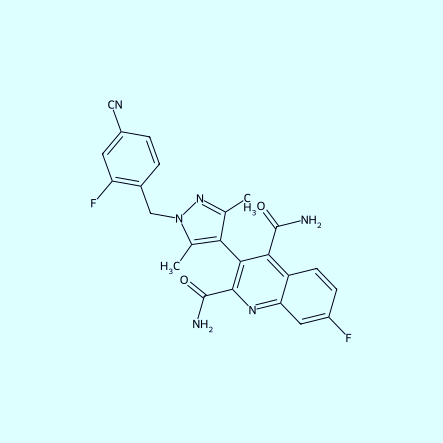 Cc1nn(Cc2ccc(C#N)cc2F)c(C)c1-c1c(C(N)=O)nc2cc(F)ccc2c1C(N)=O